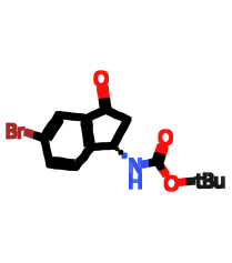 CC(C)(C)OC(=O)N[C@H]1CC(=O)c2cc(Br)ccc21